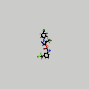 O=C(Nc1cccc(C(F)(F)F)c1)Oc1cnn(-c2ccc(Cl)cc2)c1C(F)(F)F